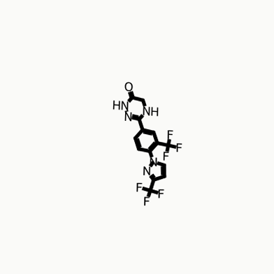 O=C1CNC(c2ccc(-n3ccc(C(F)(F)F)n3)c(C(F)(F)F)c2)=NN1